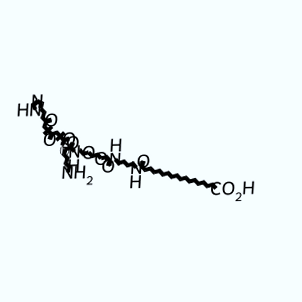 CC(C)(CC(=O)CCc1cnc[nH]1)C(=O)CC(C)(C)C(=O)C[C@@H](CCCCN)C(=O)NCCOCCOCC(=O)NCCCCNC(=O)CCCCCCCCCCCCCCCCC(=O)O